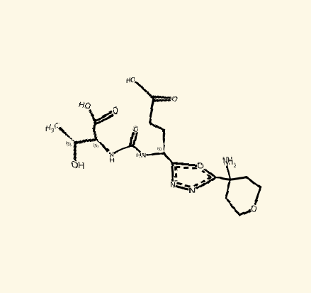 C[C@H](O)[C@H](NC(=O)N[C@@H](CCC(=O)O)c1nnc(C2(N)CCOCC2)o1)C(=O)O